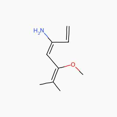 C=C/C(N)=C\C(OC)=C(C)C